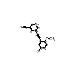 COc1ccc(Cl)cc1C#Cc1cncc(C#N)c1